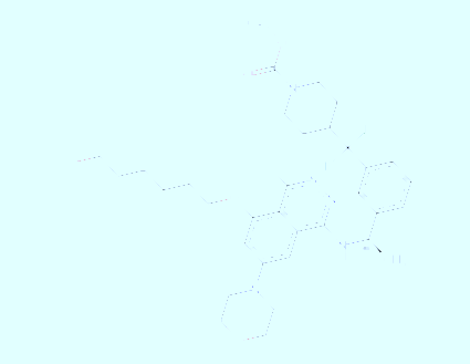 Cc1nnc(N[C@H](C)c2cccc(C(F)(F)C3CCN(C(=O)OC(C)(C)C)CC3)c2)c2cc(N3CCOCC3)cc(OCCCCCCO)c12